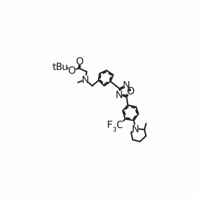 CC1CCCCN1c1ccc(-c2nc(-c3cccc(CN(C)CC(=O)OC(C)(C)C)c3)no2)cc1C(F)(F)F